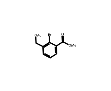 COC(=O)c1cccc(COC(C)=O)c1Br